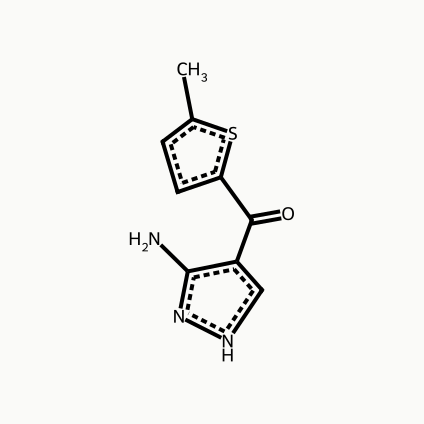 Cc1ccc(C(=O)c2c[nH]nc2N)s1